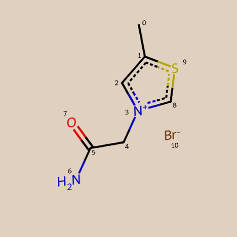 Cc1c[n+](CC(N)=O)cs1.[Br-]